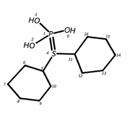 OP(O)(O)=S(C1CCCCC1)C1CCCCC1